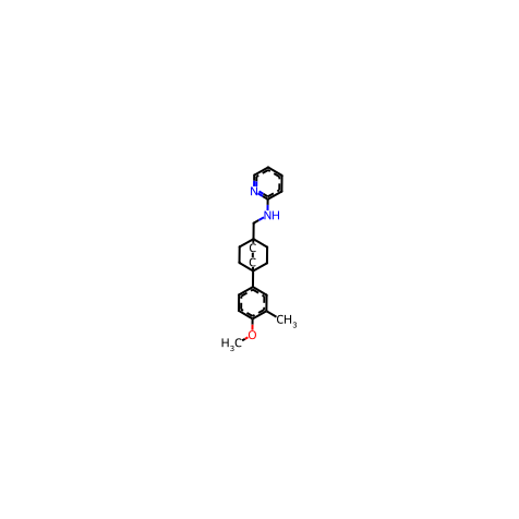 COc1ccc(C23CCC(CNc4ccccn4)(CC2)CC3)cc1C